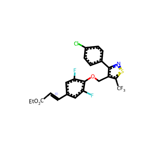 CCOC(=O)/C=C/c1cc(F)c(OCc2c(-c3ccc(Cl)cc3)nsc2C(F)(F)F)c(F)c1